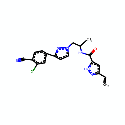 C=Cc1cc(C(=O)NC(C)Cn2ccc(-c3ccc(C#N)c(Cl)c3)n2)[nH]n1